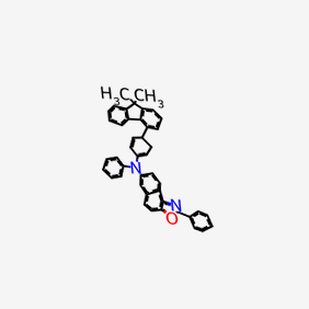 CC1(C)c2ccccc2-c2c(C3C=CC(N(c4ccccc4)c4ccc5c(ccc6oc(-c7ccccc7)nc65)c4)=CC3)cccc21